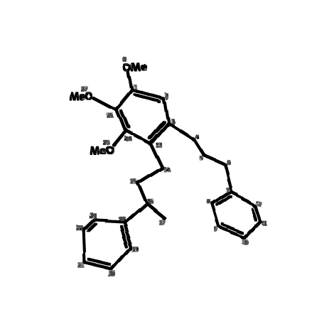 COc1[c]c(CCCc2ccccc2)c(CCC(C)c2ccccc2)c(OC)c1OC